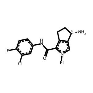 CCn1cc2c(c1C(=O)Nc1ccc(F)c(Cl)c1)CC[C@@H]2N